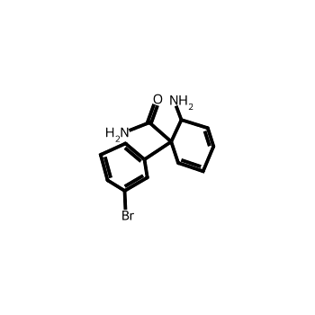 NC(=O)C1(c2cccc(Br)c2)C=CC=CC1N